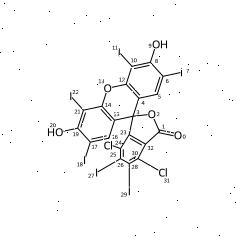 O=C1OC2(c3cc(I)c(O)c(I)c3Oc3c2cc(I)c(O)c3I)c2c(Cl)c(I)c(I)c(Cl)c21